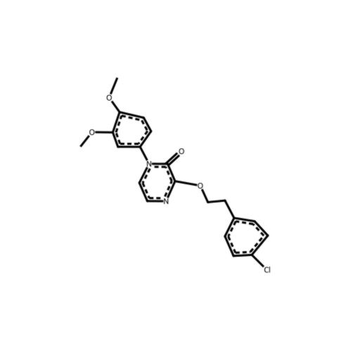 COc1ccc(-n2ccnc(OCCc3ccc(Cl)cc3)c2=O)cc1OC